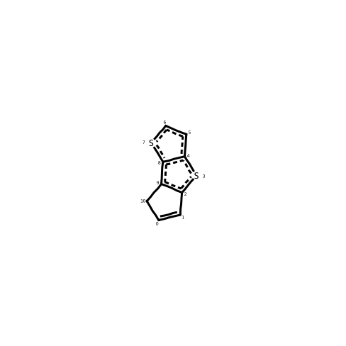 C1=Cc2sc3ccsc3c2C1